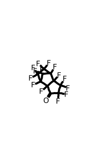 O=C1C(F)(F)C(F)(F)C2(F)C1(F)C1(F)C(F)(F)C(F)(F)C2(F)C1(F)F